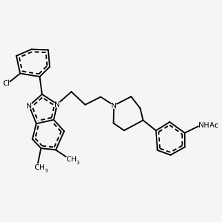 CC(=O)Nc1cccc(C2CCN(CCCn3c(-c4ccccc4Cl)nc4cc(C)c(C)cc43)CC2)c1